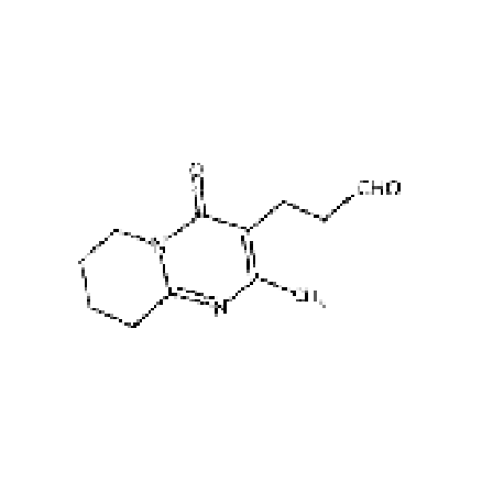 Cc1nc2n(c(=O)c1CCC=O)CCCC2